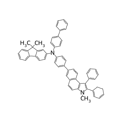 Cn1c(C2=CC=CCC2)c(-c2ccccc2)c2c3ccc(-c4ccc(N(c5ccc(-c6ccccc6)cc5)c5ccc6c(c5)C(C)(C)c5ccccc5-6)cc4)cc3ccc21